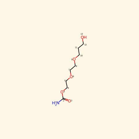 NC(=O)OCCOCCOCCCO